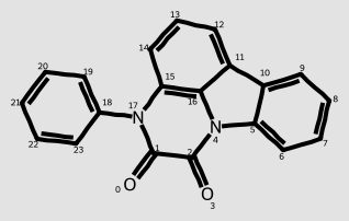 O=c1c(=O)n2c3ccccc3c3cccc(c32)n1-c1ccccc1